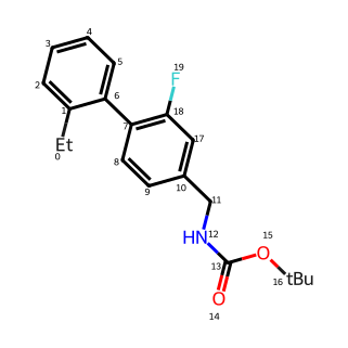 CCc1ccccc1-c1ccc(CNC(=O)OC(C)(C)C)cc1F